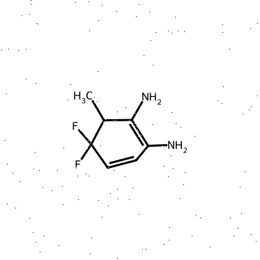 CC1C(N)=C(N)C=CC1(F)F